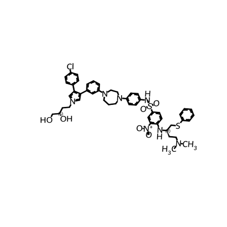 CN(C)CC[C@H](CSc1ccccc1)Nc1ccc(S(=O)(=O)Nc2ccc(N3CCCN(c4cccc(-c5cn(CC[C@H](O)CO)cc5-c5ccc(Cl)cc5)c4)CC3)cc2)cc1[N+](=O)[O-]